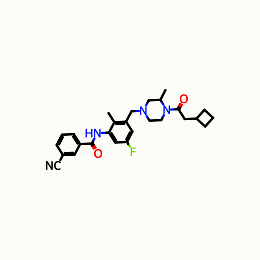 Cc1c(CN2CCN(C(=O)CC3CCC3)C(C)C2)cc(F)cc1NC(=O)c1cccc(C#N)c1